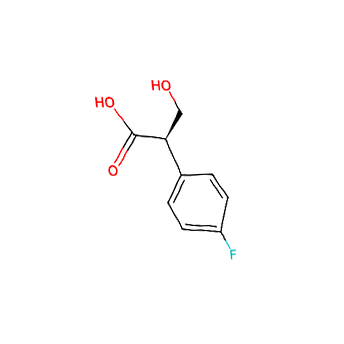 O=C(O)[C@@H](CO)c1ccc(F)cc1